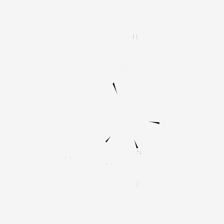 CC(=O)N[C@H]1[C@@H](OC(C)=O)[C@H](OC(C)=O)[C@@H](COC(C)=O)O[C@H]1S